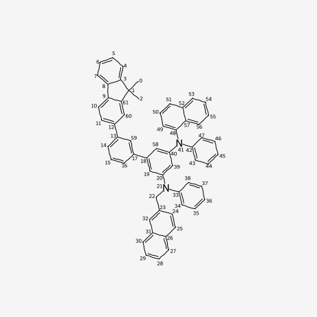 CC1(C)c2ccccc2-c2ccc(-c3cccc(-c4cc(N(Cc5ccc6ccccc6c5)c5ccccc5)cc(N(c5ccccc5)c5cccc6ccccc56)c4)c3)cc21